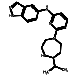 CC(C)C1CCN(c2nccc(Nc3ccc4[nH]ncc4c3)n2)CCN1